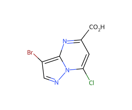 O=C(O)c1cc(Cl)n2ncc(Br)c2n1